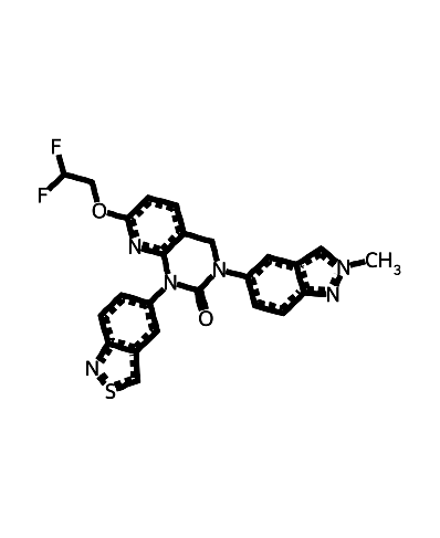 Cn1cc2cc(N3Cc4ccc(OCC(F)F)nc4N(c4ccc5nscc5c4)C3=O)ccc2n1